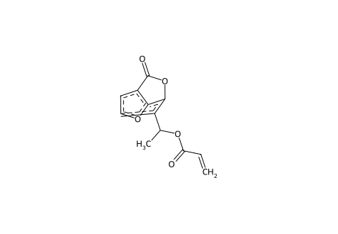 C=CC(=O)OC(C)c1c2c3oc1cc3C(=O)O2